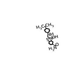 CC(C)c1ccc(NCC2Sc3ccc(C(N)=O)cc3N2O)cc1